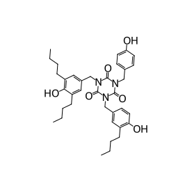 CCCCc1cc(Cn2c(=O)n(Cc3ccc(O)cc3)c(=O)n(Cc3cc(CCCC)c(O)c(CCCC)c3)c2=O)ccc1O